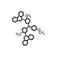 COc1ccc(N(c2ccc(C)c(-c3cc4ccccc4c4ccccc34)c2)c2ccc(C)c(-c3cc4ccccc4c4ccccc34)c2)cc1